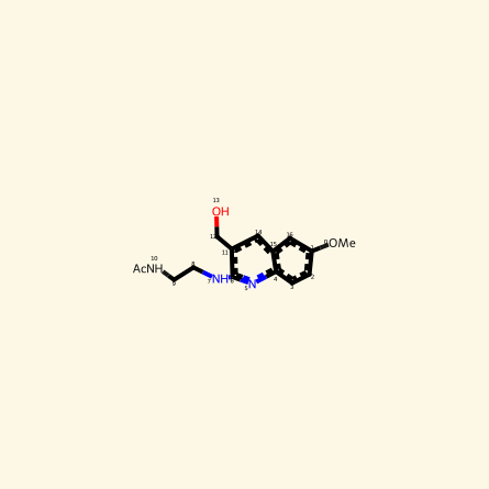 COc1ccc2nc(NCCNC(C)=O)c(CO)cc2c1